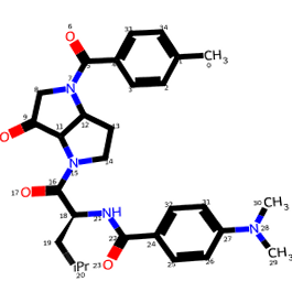 Cc1ccc(C(=O)N2CC(=O)C3C2CCN3C(=O)[C@H](CC(C)C)NC(=O)c2ccc(N(C)C)cc2)cc1